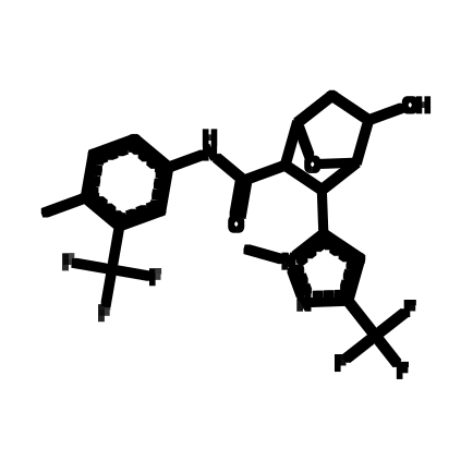 Cc1ccc(NC(=O)C2C3CC(O)C(O3)C2c2cc(C(F)(F)F)nn2C)cc1C(F)(F)F